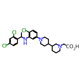 CC(Nc1cc(N2CCC(C3CCCN(CC(=O)O)C3)CC2)ccc1Cl)c1ccc(Cl)cc1Cl